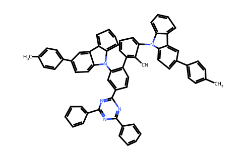 Cc1ccc(-c2ccc3c(c2)c2ccccc2n3-c2cc(-c3nc(-c4ccccc4)nc(-c4ccccc4)n3)ccc2-c2cccc(-n3c4ccccc4c4cc(-c5ccc(C)cc5)ccc43)c2C#N)cc1